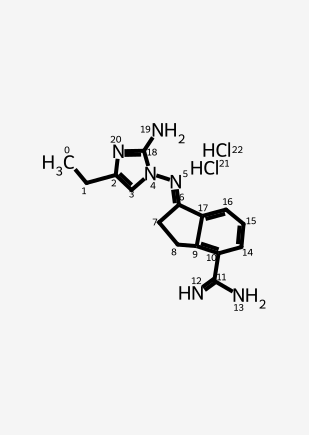 CCc1cn(/N=C2\CCc3c(C(=N)N)cccc32)c(N)n1.Cl.Cl